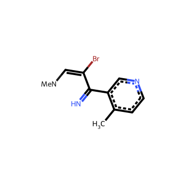 CN/C=C(/Br)C(=N)c1cnccc1C